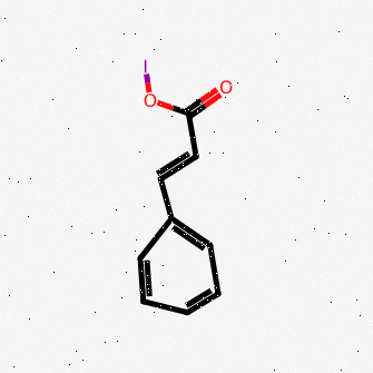 O=C(/C=C/c1ccccc1)OI